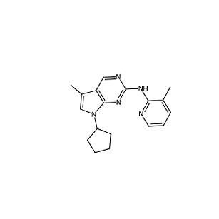 Cc1cccnc1Nc1ncc2c(C)cn(C3CCCC3)c2n1